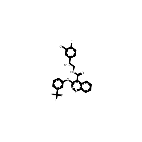 O=C(NC[C@H](F)c1ccc(Cl)c(Cl)c1)c1c(Oc2cccc(C(F)(F)F)c2)nnc2ccccc12